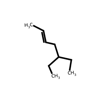 CC=CCC(CC)CC